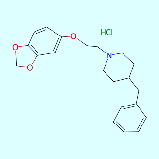 Cl.c1ccc(CC2CCN(CCOc3ccc4c(c3)OCO4)CC2)cc1